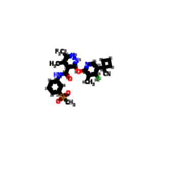 Cc1c(Oc2nnc(C(F)(F)F)c(C)c2C(=O)Nc2cccc(S(C)(=O)=O)c2)ncc(C2(C#N)CCC2)c1F